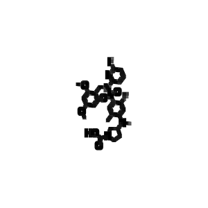 COc1ccc(CN(c2cccc(F)n2)S(=O)(=O)c2cc(C)c(N(C)[C@H]3CCN(C(=O)O)C3)cc2F)c(OC)c1